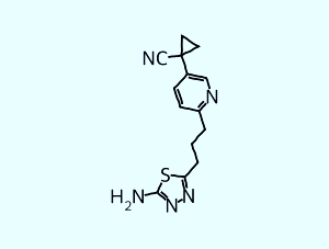 N#CC1(c2ccc(CCCc3nnc(N)s3)nc2)CC1